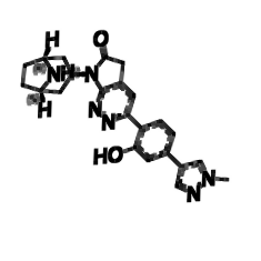 Cn1cc(-c2ccc(-c3cc4c(nn3)N([C@@H]3C[C@H]5CC[C@@H](C3)N5)C(=O)C4)c(O)c2)cn1